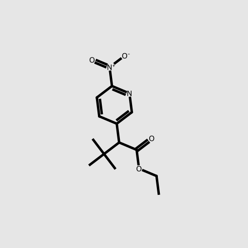 CCOC(=O)C(c1ccc([N+](=O)[O-])nc1)C(C)(C)C